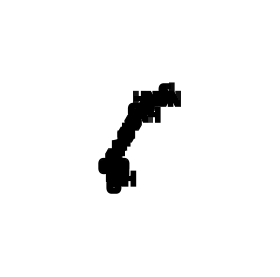 N#Cc1ccc(NC2CCC(NC(=O)c3ccc(N4CCN(C5CN(c6ccc7c(c6)C(=O)N(C6CCC(=O)NC6=O)C7=O)C5)CC4)cc3)CC2)cc1Cl